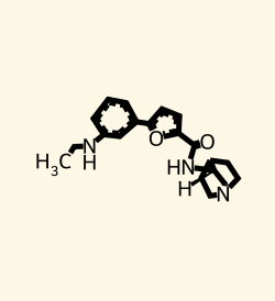 CCNc1cccc(-c2ccc(C(=O)N[C@H]3CN4CCC3CC4)o2)c1